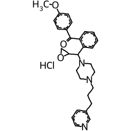 COc1ccc(C(=O)c2ccccc2C(C2CO2)N2CCN(CCCc3cccnc3)CC2)cc1.Cl